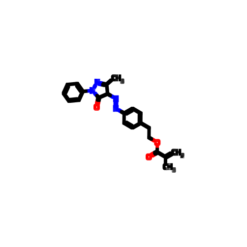 C=C(C)C(=O)OCCc1ccc(/N=N/C2C(=O)N(c3ccccc3)N=C2C)cc1